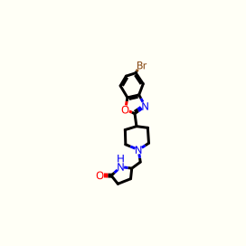 O=C1CCC(CN2CCC(c3nc4cc(Br)ccc4o3)CC2)N1